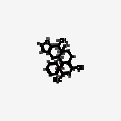 Cc1nc(O)c2c(n1)[C@@]1(c3ccccc3)Cc3cnoc3[C@@H](C)[C@@H]1CC2